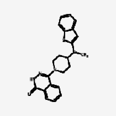 CN(c1cc2ccccc2s1)C1CCN(c2n[nH]c(=O)c3ccccc23)CC1